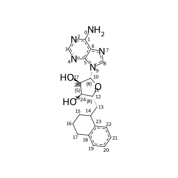 Nc1ncnc2c1ncn2[C@@H]1O[C@H](CC2CCCc3ccccc32)[C@@H](O)[C@H]1O